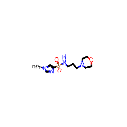 CCCn1cnc(S(=O)(=O)NCCCN2CCOCC2)c1